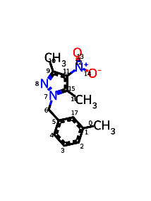 Cc1cccc(Cn2nc(C)c([N+](=O)[O-])c2C)c1